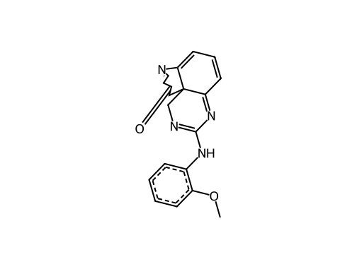 COc1ccccc1NC1=NCC23CC(=O)CC=NC2=CC=CC3=N1